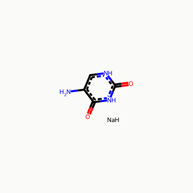 Nc1c[nH]c(=O)[nH]c1=O.[NaH]